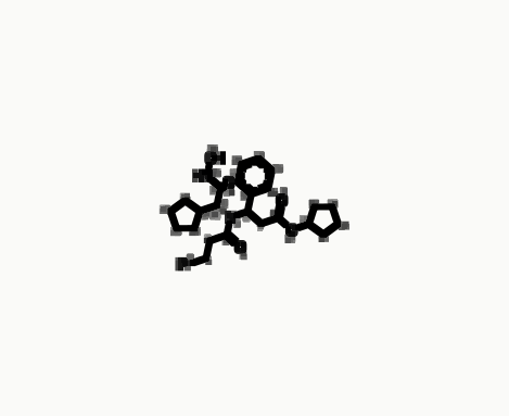 CC(C)CCC(=O)N(C(CC(=O)OC1CCCC1)c1ccccc1)[C@@H](C(=O)NO)C1CCCC1